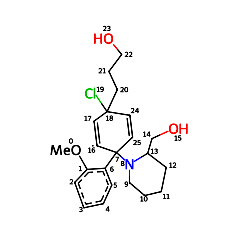 COc1ccccc1C1(N2CCCCC2CO)[C]=CC(Cl)(CCCO)C=C1